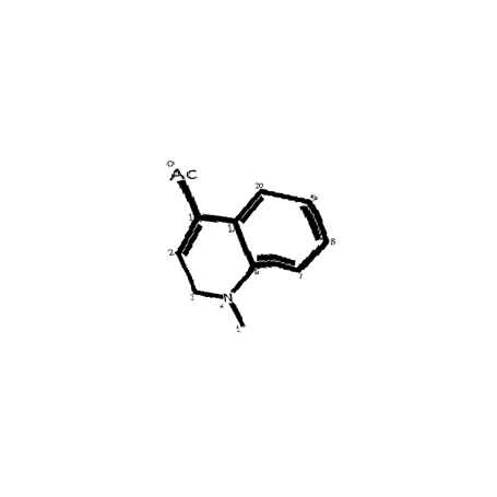 CC(=O)C1=CCN(C)c2ccccc21